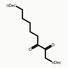 CCCCCCCCCCCCCCCC(=O)C(=O)CCCCCCCCCCC